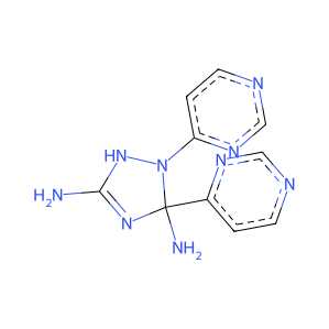 NC1=NC(N)(c2ccncn2)N(c2ccncn2)N1